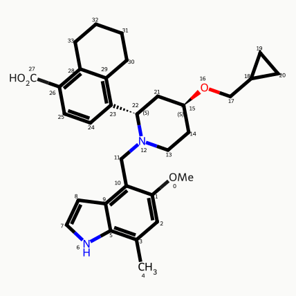 COc1cc(C)c2[nH]ccc2c1CN1CC[C@H](OCC2CC2)C[C@H]1c1ccc(C(=O)O)c2c1CCCC2